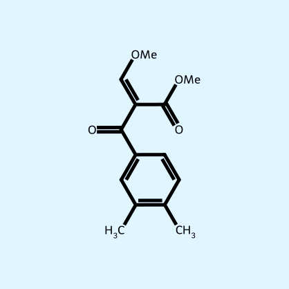 COC=C(C(=O)OC)C(=O)c1ccc(C)c(C)c1